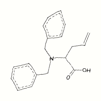 C=CCC(C(=O)O)N(Cc1ccccc1)Cc1ccccc1